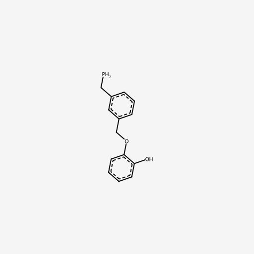 Oc1ccccc1OCc1cccc(CP)c1